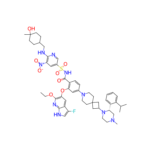 CCOc1nc2[nH]cc(F)c2cc1Oc1cc(N2CCC3(CC2)CC(N2CCN(C)C[C@H]2c2ccccc2C(C)C)C3)ccc1C(=O)NS(=O)(=O)c1cnc(NCC2CCC(C)(O)CC2)c([N+](=O)[O-])c1